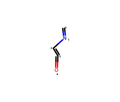 C=NC=C=O